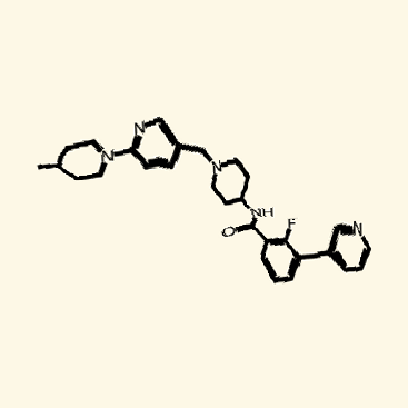 CC1CCN(c2ccc(CN3CCC(NC(=O)c4cccc(-c5cccnc5)c4F)CC3)cn2)CC1